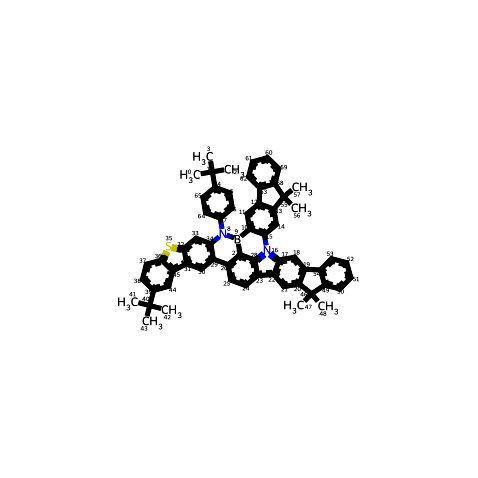 CC(C)(C)c1ccc(N2B3c4cc5c(cc4-n4c6cc7c(cc6c6ccc(c3c64)-c3cc4c(cc32)sc2ccc(C(C)(C)C)cc24)C(C)(C)c2ccccc2-7)C(C)(C)c2ccccc2-5)cc1